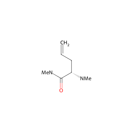 C=CC[C@H](NC)C(=O)NC